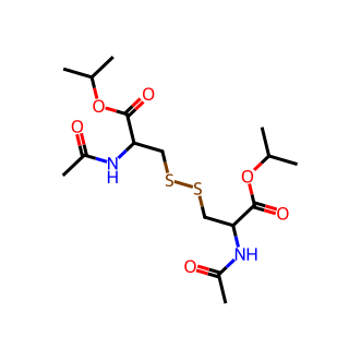 CC(=O)NC(CSSCC(NC(C)=O)C(=O)OC(C)C)C(=O)OC(C)C